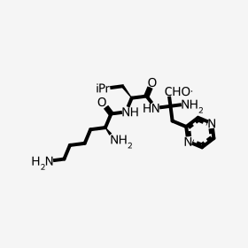 CC(C)C[C@H](NC(=O)[C@@H](N)CCCCN)C(=O)NC(N)([C]=O)Cc1cnccn1